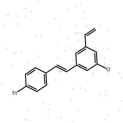 C=Cc1cc(Cl)cc(/C=C/c2ccc(CC)cc2)c1